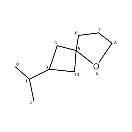 CC(C)C1CC2(CCCO2)C1